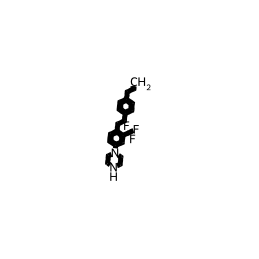 C=CCc1ccc(CCc2ccc(N3CCNCC3)cc2C(F)(F)F)cc1